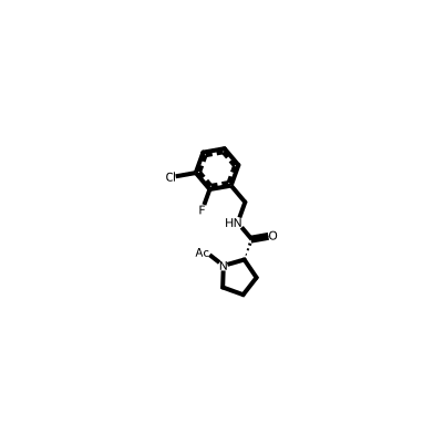 CC(=O)N1CCC[C@H]1C(=O)NCc1cccc(Cl)c1F